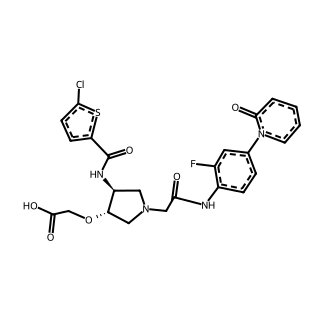 O=C(O)CO[C@H]1CN(CC(=O)Nc2ccc(-n3ccccc3=O)cc2F)C[C@@H]1NC(=O)c1ccc(Cl)s1